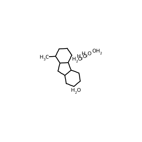 CC1CCCC2C1CC1CCCCC12.O.O.O.O.O